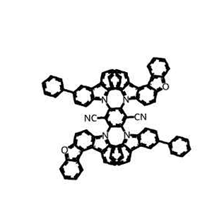 N#Cc1c(-n2c3ccccc3c3cc(-c4ccccc4)ccc32)c(-n2c3ccccc3c3c4c(ccc32)oc2ccccc24)c(C#N)c(-n2c3ccccc3c3cc(-c4ccccc4)ccc32)c1-n1c2ccccc2c2c3c(ccc21)oc1ccccc13